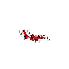 CN(C)C1CCC(Nc2cccc3c2cc(C#CCNc2ccc(S(=O)(=O)Cc4cc(NC5CCOCC5)c5cc(C#CCNc6ccc(C(N)=O)cc6O)n(CC(F)(F)F)c5c4)cc2O)n3CC(F)(F)F)CC1